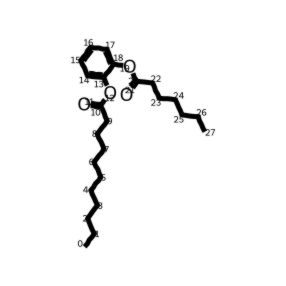 CCCCCCCCCCC(=O)Oc1ccccc1OC(=O)CCCCCC